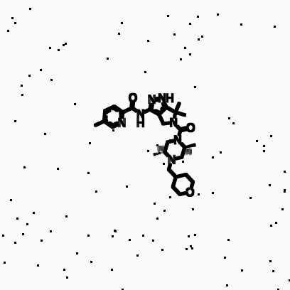 Cc1ccc(C(=O)Nc2n[nH]c3c2CN(C(=O)N2C[C@@H](C)N(CC4CCOCC4)C[C@@H]2C)C3(C)C)nc1